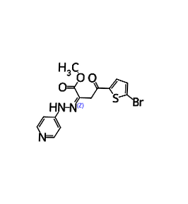 COC(=O)/C(CC(=O)c1ccc(Br)s1)=N\Nc1ccncc1